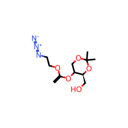 C=C(OCCN=[N+]=[N-])OC1COC(C)(C)O[C@H]1CO